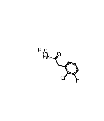 CNC(=O)Cc1cccc(F)c1Cl